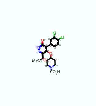 CNC(=O)c1n[nH]c(=O)c(-c2ccc(Cl)c(Cl)c2)c1OC1CCN(C(=O)O)CC1